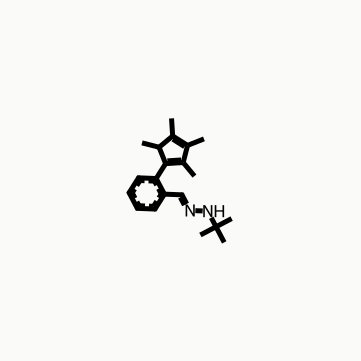 CC1=C(C)C(C)C(c2ccccc2C=NNC(C)(C)C)=C1C